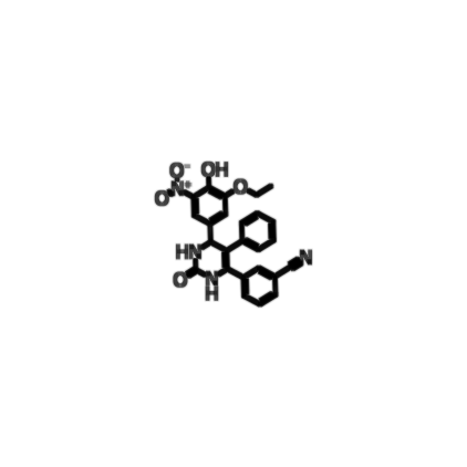 CCOc1cc(C2NC(=O)NC(c3cccc(C#N)c3)=C2c2ccccc2)cc([N+](=O)[O-])c1O